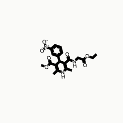 CCOC(=O)CNC(=O)C1=C(C)NC(C)=C(C(=O)OC)C1c1cccc([N+](=O)[O-])c1